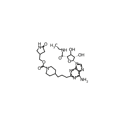 CCNC(=O)[C@H]1O[C@@H](n2cnc3c(N)nc(CCCC4CCN(C(=O)OCC5CNC(=O)C5)CC4)nc32)[C@@H](O)C1O